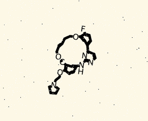 Fc1ccc2cc1OCC/C=C/COCc1cc(ccc1OCCN1CCCC1)Nc1nccc-2n1